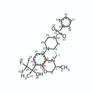 C[C@H]1COCCN1C[C@H]1CN(S(=O)(=O)c2nccs2)CCN1c1ccc([C@](C)(O)C(F)(F)F)cc1